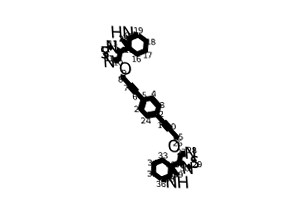 C(#Cc1ccc(C#CCOc2nsnc2C23CCCC(C2)NC3)cc1)COc1nsnc1C12CCCC(C1)NC2